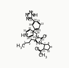 CCCCc1cn(C2CCCC2C(C)=O)c(=O)n1CC1(c2cccc(-c3nnn[nH]3)c2)C=CNC=C1